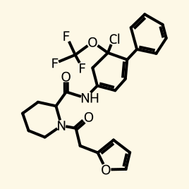 O=C(NC1=CC=C(c2ccccc2)C(Cl)(OC(F)(F)F)C1)C1CCCCN1C(=O)Cc1ccco1